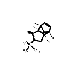 C[Si](C)(C)C1C[C@H]2[C@@H](C1=O)[C@@H]1C=C[C@H]2C1